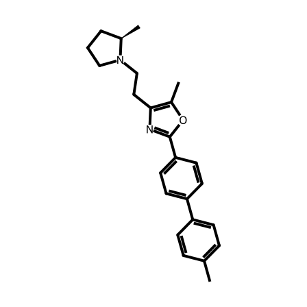 Cc1ccc(-c2ccc(-c3nc(CCN4CCC[C@H]4C)c(C)o3)cc2)cc1